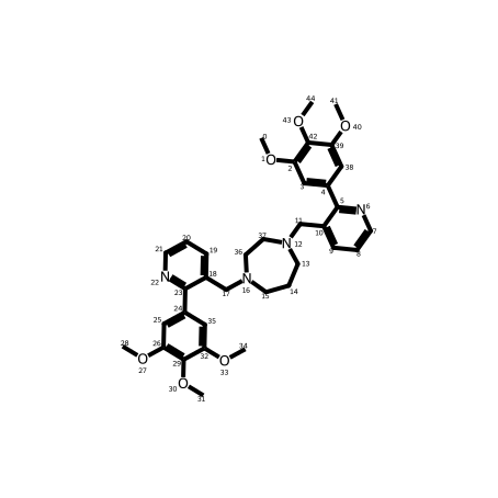 COc1cc(-c2ncccc2CN2CCCN(Cc3cccnc3-c3cc(OC)c(OC)c(OC)c3)CC2)cc(OC)c1OC